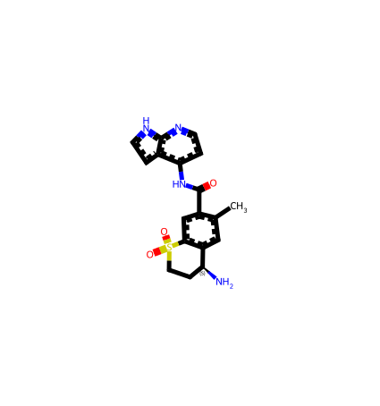 Cc1cc2c(cc1C(=O)Nc1ccnc3[nH]ccc13)S(=O)(=O)CC[C@@H]2N